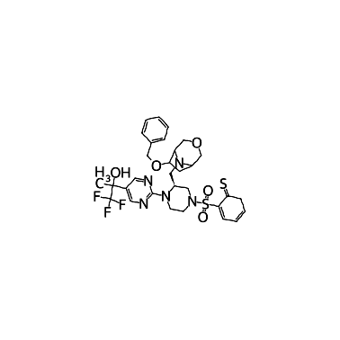 CC(O)(c1cnc(N2CCN(S(=O)(=O)C3=CC=CCC3=S)C[C@@H]2CN2C3COCC2C(OCc2ccccc2)C3)nc1)C(F)(F)F